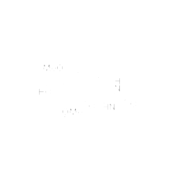 COc1cc(C=C2NC(=O)NC2=O)cc(OC)c1O